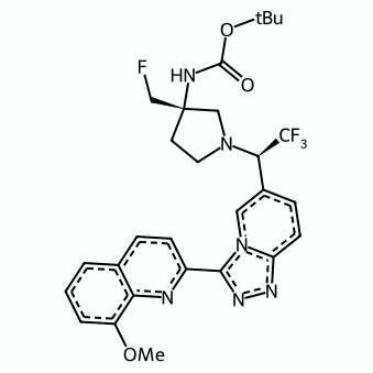 COc1cccc2ccc(-c3nnc4ccc([C@@H](N5CC[C@](CF)(NC(=O)OC(C)(C)C)C5)C(F)(F)F)cn34)nc12